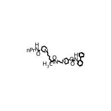 CCCNC(=O)[C@@H]1CCCN(CCCCC(C)C(=O)NCCN2CCC(OC(=O)Nc3ccccc3-c3ccccc3)CC2)C1